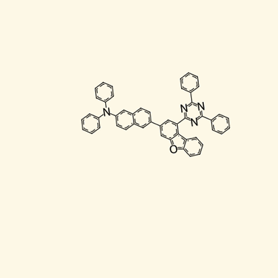 c1ccc(-c2nc(-c3ccccc3)nc(-c3cc(-c4ccc5cc(N(c6ccccc6)c6ccccc6)ccc5c4)cc4oc5ccccc5c34)n2)cc1